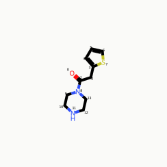 O=C(Cc1cccs1)N1CCNCC1